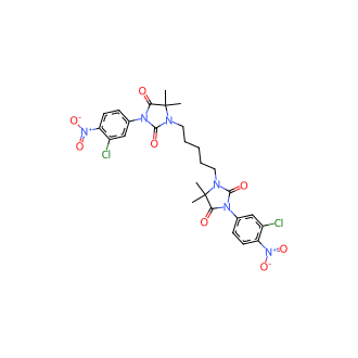 CC1(C)C(=O)N(c2ccc([N+](=O)[O-])c(Cl)c2)C(=O)N1CCCCCN1C(=O)N(c2ccc([N+](=O)[O-])c(Cl)c2)C(=O)C1(C)C